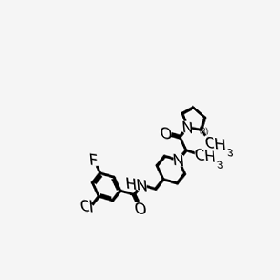 CC(C(=O)N1CCC[C@H]1C)N1CCC(CNC(=O)c2cc(F)cc(Cl)c2)CC1